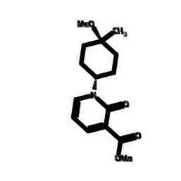 COC(=O)c1cccn([C@H]2CC[C@](C)(OC)CC2)c1=O